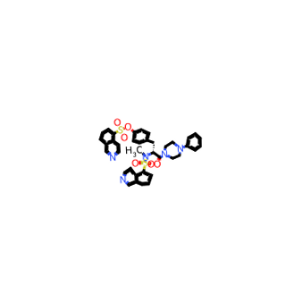 CN([C@H](Cc1ccc(OS(=O)(=O)c2cccc3cnccc23)cc1)C(=O)N1CCN(c2ccccc2)CC1)S(=O)(=O)c1cccc2cnccc12